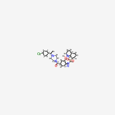 C=C(c1ccc(Cl)cc1)N1CCN(C(=O)c2ccc(NS(=O)(=O)c3cccc4cccnc34)c(OC)c2)CC1